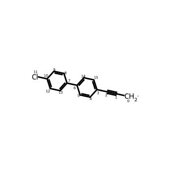 [CH2]C#Cc1ccc(-c2ccc(Cl)cc2)cc1